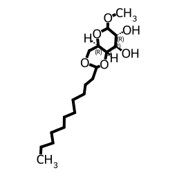 CCCCCCCCCCCC1OC[C@H]2OC(OC)[C@H](O)[C@@H](O)[C@@H]2O1